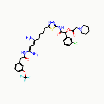 N/C(=C\C=C(/N)NC(=O)Cc1cccc(OC(F)(F)F)c1)CCCCc1nnc(NC(=O)C(OC(=O)CN2CCCCC2)c2cccc(Cl)c2)s1